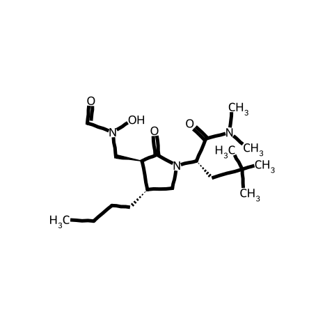 CCCC[C@H]1CN([C@@H](CC(C)(C)C)C(=O)N(C)C)C(=O)[C@@H]1CN(O)C=O